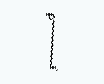 NCCCCCCCCC=CCCCCCCCCCCN1CCNCC1